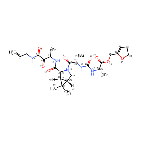 C=CCNC(=O)C(=O)C(CCC)NC(=O)[C@@H]1[C@@H]2[C@H](CN1C(=O)[C@@H](NC(=O)N[C@H](C(=O)OCC1=CCCO1)C(C)C)C(C)(C)C)C2(C)C